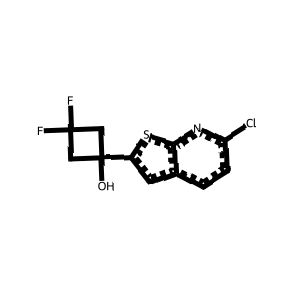 OC1(c2cc3ccc(Cl)nc3s2)CC(F)(F)C1